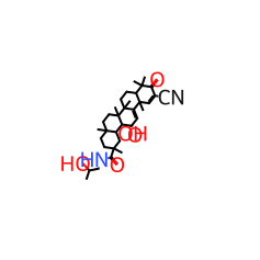 CC(O)CNC(=O)C1(C)CCC2(C)CCC3(C)C4(C)CCC5C(C)(C)C(=O)C(C#N)=CC5(C)C4=CC(=O)C3(O)C2C1